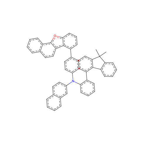 CC1(C)c2ccccc2-c2c(-c3ccccc3N(c3ccc(-c4cccc5oc6c7ccccc7ccc6c45)cc3)c3ccc4ccccc4c3)cccc21